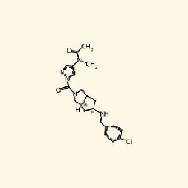 CC(=O)N(C)c1cnn(C(=O)N2CC3C[C@@H](NCc4ccc(Cl)cc4)C[C@H]3C2)c1